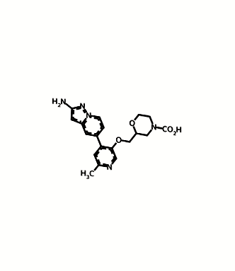 Cc1cc(-c2ccn3nc(N)cc3c2)c(OCC2CN(C(=O)O)CCO2)cn1